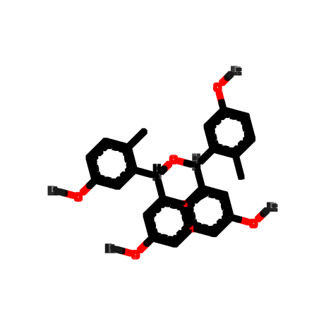 CCOc1ccc(C)c([SiH](O[SiH](c2cc(OCC)ccc2C)c2cc(OCC)ccc2C)c2cc(OCC)ccc2C)c1